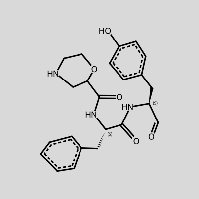 O=C[C@H](Cc1ccc(O)cc1)NC(=O)[C@H](Cc1ccccc1)NC(=O)C1CNCCO1